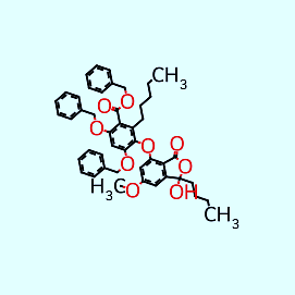 CCCCCc1c(Oc2cc(OC)cc3c2C(=O)OC3(O)CCCC)c(OCc2ccccc2)cc(OCc2ccccc2)c1C(=O)OCc1ccccc1